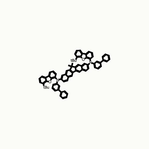 CC(C)(C)c1cccc2c1oc1c(N(c3cccc(-c4ccccc4)c3)c3ccc4cc5c(cc4c3)C(C)(C)c3cc4cc(N(c6cccc(-c7ccccc7)c6)c6cccc7c6oc6c(C(C)(C)C)cccc67)ccc4cc3-5)cccc12